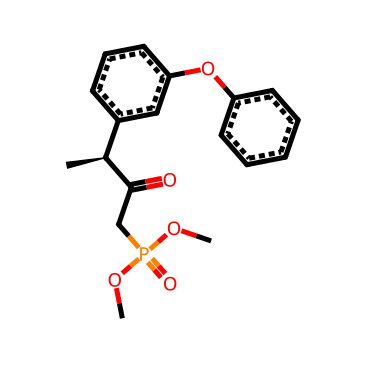 COP(=O)(CC(=O)[C@@H](C)c1cccc(Oc2ccccc2)c1)OC